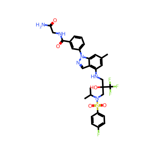 Cc1cc(NCC(O)(CN(C(C)C)S(=O)(=O)c2ccc(F)cc2)C(F)(F)F)c2cnn(-c3cccc(C(=O)NCC(N)=O)c3)c2c1